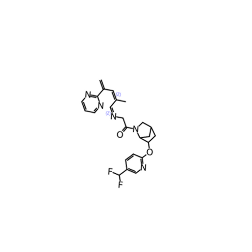 C=C(/C=C(C)\C=N/CC(=O)N1CC2CC(Oc3ccc(C(F)F)cn3)C1C2)c1ncccn1